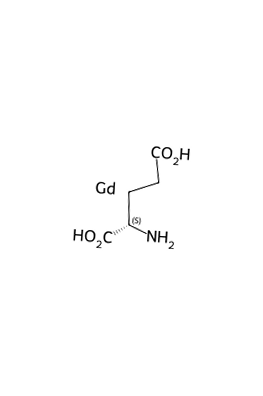 N[C@@H](CCC(=O)O)C(=O)O.[Gd]